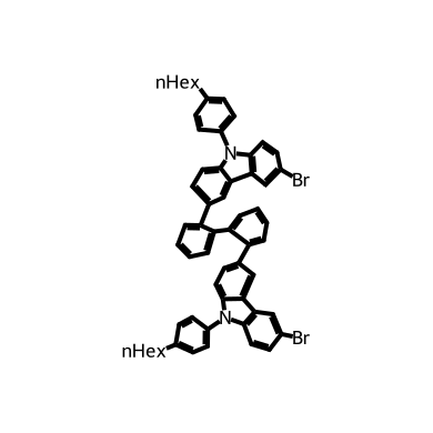 CCCCCCc1ccc(-n2c3ccc(Br)cc3c3cc(-c4ccccc4-c4ccccc4-c4ccc5c(c4)c4cc(Br)ccc4n5-c4ccc(CCCCCC)cc4)ccc32)cc1